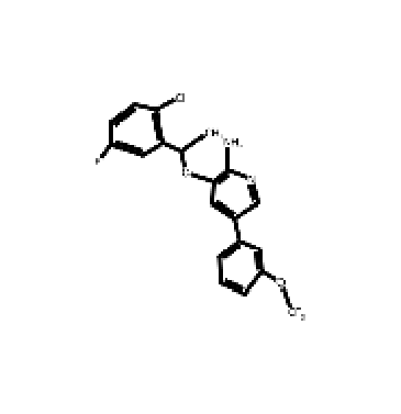 CC(Oc1cc(-c2cccc(OC(F)(F)F)c2)cnc1N)c1cc(F)ccc1Cl